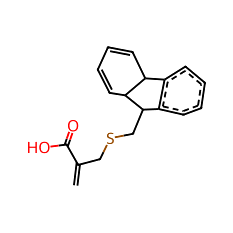 C=C(CSCC1c2ccccc2C2C=CC=CC21)C(=O)O